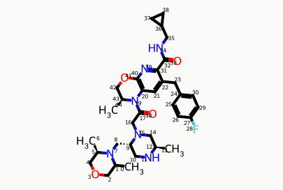 CC1COC[C@@H](C)N1C[C@H]1CN[C@H](C)CN1CC(=O)N1c2cc(Cc3ccc(F)cc3)c(C(=O)NCC3CC3)nc2OC[C@@H]1C